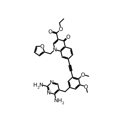 CCOC(=O)c1cn(Cc2ccco2)c2cc(C#Cc3cc(Cc4cnc(N)nc4N)cc(OC)c3OC)ccc2c1=O